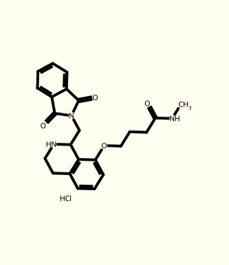 CNC(=O)CCCOc1cccc2c1C(CN1C(=O)c3ccccc3C1=O)NCC2.Cl